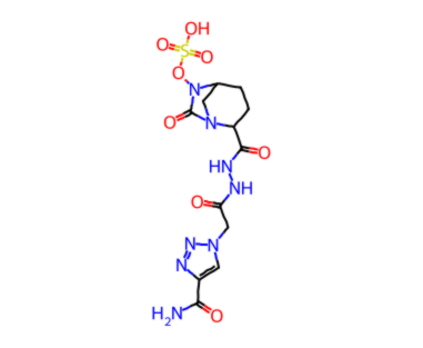 NC(=O)c1cn(CC(=O)NNC(=O)C2CCC3CN2C(=O)N3OS(=O)(=O)O)nn1